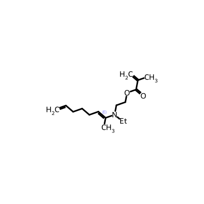 C=CCCC/C=C(\C)N(CC)CCOC(=O)C(=C)C